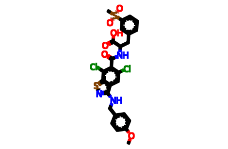 COc1ccc(CNc2nsc3c(Cl)c(C(=O)NC(Cc4cccc(S(C)(=O)=O)c4)C(=O)O)c(Cl)cc23)cc1